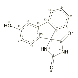 O=C1NC(=O)C2(N1)c1ccccc1-c1cc(O)ccc12